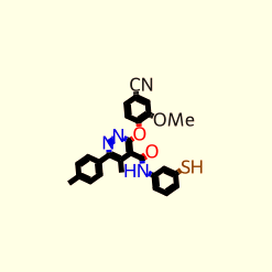 COc1cc(C#N)ccc1Oc1nnc(-c2ccc(C)cc2)c(C)c1C(=O)Nc1cccc(S)c1